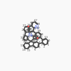 c1ccc(-c2ccc3c(c2)C2(c4ccccc4-3)c3ccccc3-n3c4ccccc4c4cccc2c43)c(-c2ccc(-c3cccc4cccnc34)cc2)c1